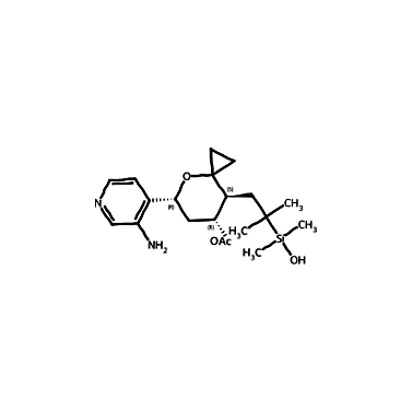 CC(=O)O[C@@H]1C[C@H](c2ccncc2N)OC2(CC2)[C@H]1CC(C)(C)[Si](C)(C)O